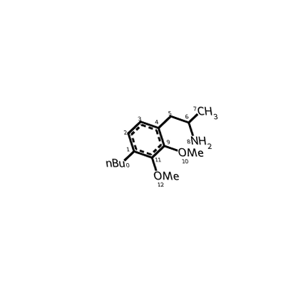 CCCCc1ccc(CC(C)N)c(OC)c1OC